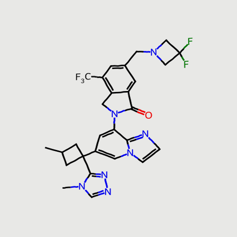 CC1CC(c2cc(N3Cc4c(cc(CN5CC(F)(F)C5)cc4C(F)(F)F)C3=O)c3nccn3c2)(c2nncn2C)C1